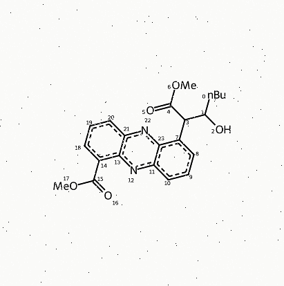 CCCCC(O)C(C(=O)OC)c1cccc2nc3c(C(=O)OC)cccc3nc12